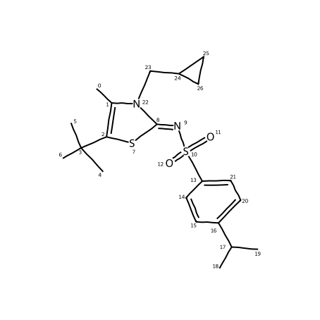 Cc1c(C(C)(C)C)s/c(=N\S(=O)(=O)c2ccc(C(C)C)cc2)n1CC1CC1